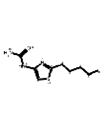 CCCCCc1nc(NC(N)=O)cs1